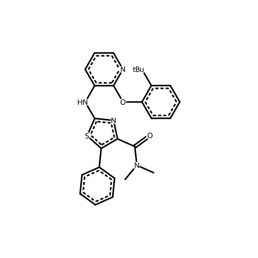 CN(C)C(=O)c1nc(Nc2cccnc2Oc2ccccc2C(C)(C)C)sc1-c1ccccc1